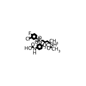 CC(=O)NC(C)(C)CC1CN(S(=O)(=O)c2ccc(F)c(Cl)c2)c2cc(NC(=O)O)ccc2O1